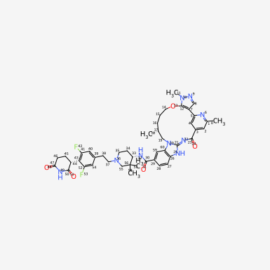 Cc1cc2cc(n1)-c1cnn(C)c1OCCC[C@@H](C)CN1/C(=N/C2=O)Nc2ccc(C(=O)N[C@H]3CCN(CCc4cc(F)c([C@H]5CCC(=O)NC5=O)c(F)c4)CC3(C)C)cc21